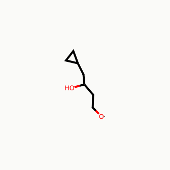 [O]CCC(O)CC1CC1